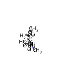 C/C=C1\C(=O)N2C(C(=O)O)=C(SCC(N)C(=O)OCC)S[C@H]12